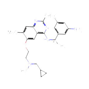 COc1cc2nc(C)nc(N[C@H](C)c3cc(N)cc(C(F)(F)F)c3)c2cc1OCCN(C)CC1CC1